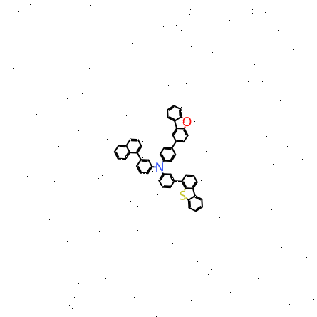 c1cc(-c2cccc3ccccc23)cc(N(c2ccc(-c3ccc4oc5ccccc5c4c3)cc2)c2cccc(-c3cccc4c3sc3ccccc34)c2)c1